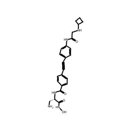 NC[C@H](NC(=O)c1ccc(C#Cc2ccc(NC(=O)CNC3CCC3)cc2)cc1)C(=O)NO